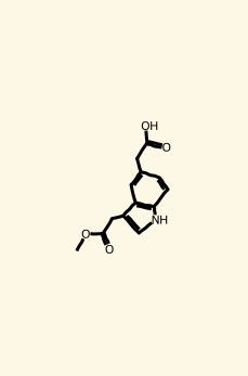 COC(=O)Cc1c[nH]c2ccc(CC(=O)O)cc12